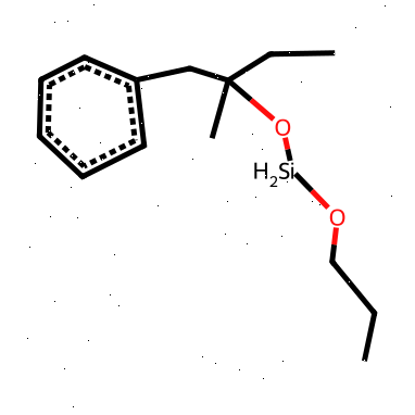 CCCO[SiH2]OC(C)(CC)Cc1ccccc1